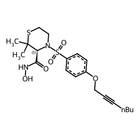 [CH2]CCCC#CCOc1ccc(S(=O)(=O)N2CCSC(C)(C)[C@@H]2C(=O)NO)cc1